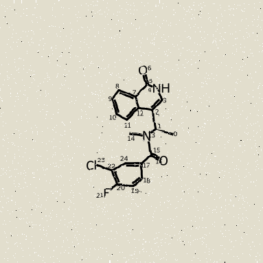 C[C@H](c1c[nH]c(=O)c2ccccc12)N(C)C(=O)c1ccc(F)c(Cl)c1